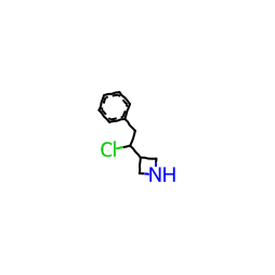 ClC(Cc1ccccc1)C1CNC1